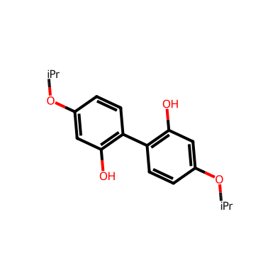 CC(C)Oc1ccc(-c2ccc(OC(C)C)cc2O)c(O)c1